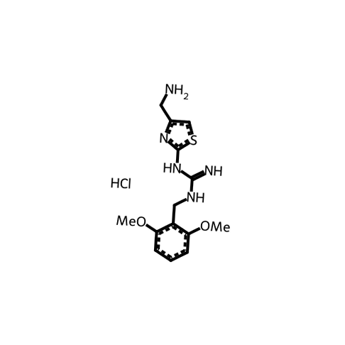 COc1cccc(OC)c1CNC(=N)Nc1nc(CN)cs1.Cl